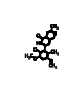 COc1cc(OC)c(Cl)c(-c2cc3cnc(C)cc3c(=O)[nH]2)c1C